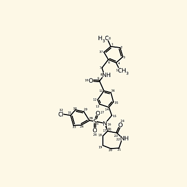 Cc1ccc(C)c(CNC(=O)c2ccc(CN([C@@H]3CCCCNC3=O)S(=O)(=O)c3ccc(Cl)cc3)cc2)c1